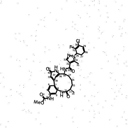 COC(=O)Nc1ccc2c(c1)NC(=O)[C@H](C)CCC[C@H](NC(=O)c1cnn(C3CC=CC(Cl)=C3F)c1C)c1cc-2cc(=O)[nH]1